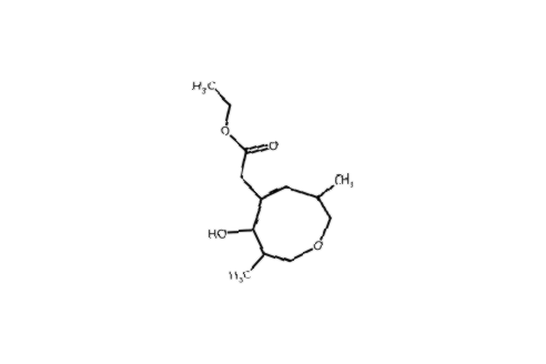 CCOC(=O)CC1CC(C)COCC(C)C1O